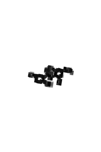 O=C(Nc1c(Cl)cc([N+](=O)[O-])cc1Cl)c1cc(Cl)ccc1O